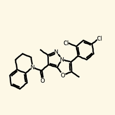 Cc1nn2c(-c3ccc(Cl)cc3Cl)c(C)oc2c1C(=O)N1CCCc2ccccc21